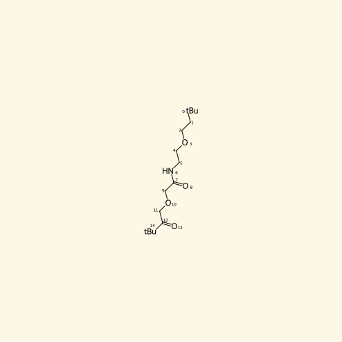 CC(C)(C)CCOCCNC(=O)COCC(=O)C(C)(C)C